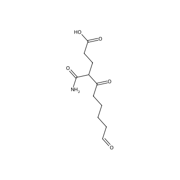 NC(=O)C(CCC(=O)O)C(=O)CCCCC=O